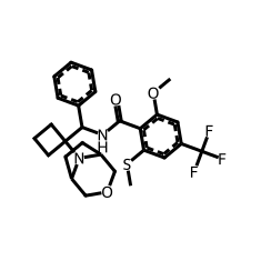 COc1cc(C(F)(F)F)cc(SC)c1C(=O)NC(c1ccccc1)C1(N2C3CCC2COC3)CCC1